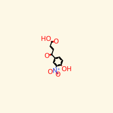 O=C(O)C=CC(=O)c1ccc(O)c([N+](=O)[O-])c1